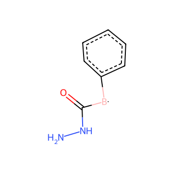 NNC(=O)[B]c1ccccc1